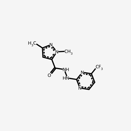 Cc1cc(C(=O)NNc2nccc(C(F)(F)F)n2)n(C)n1